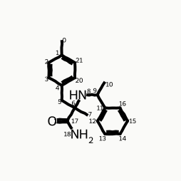 Cc1ccc(CC(C)(NC(C)c2ccccc2)C(N)=O)cc1